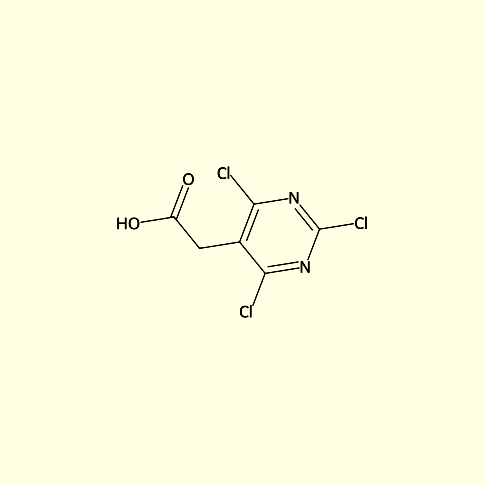 O=C(O)Cc1c(Cl)nc(Cl)nc1Cl